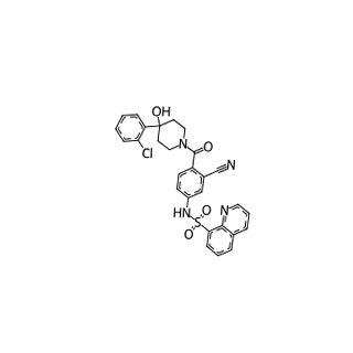 N#Cc1cc(NS(=O)(=O)c2cccc3cccnc23)ccc1C(=O)N1CCC(O)(c2ccccc2Cl)CC1